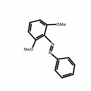 COc1cccc(OC)c1N=Nc1ccccc1